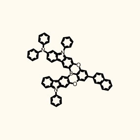 c1ccc(N(c2ccccc2)c2ccc3c4cc5c(cc4n(-c4ccccc4)c3c2)Oc2cc(-c3ccc4ccccc4c3)cc3c2B5c2cc4c5ccccc5n(-c5ccccc5)c4cc2O3)cc1